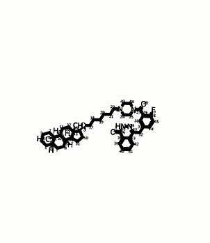 C[C@]12CCCC[C@@H]1CC[C@@H]1[C@@H]2CC[C@]2(C)[C@@H](OCCCCCCN3CCN(C(=O)c4cc(Cc5n[nH]c(=O)c6ccccc56)ccc4F)CC3)CC[C@@H]12